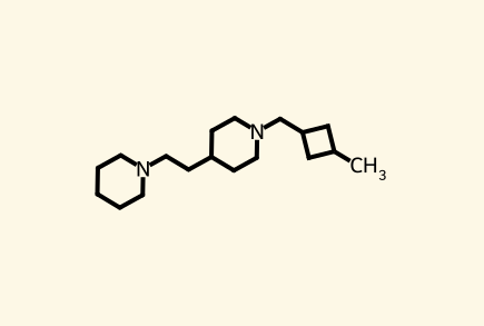 CC1CC(CN2CCC(CCN3CCCCC3)CC2)C1